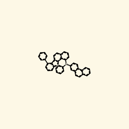 c1ccc(-c2cccc3oc4c(ccc5cccc(N(c6ccccc6)c6ccc7c(ccc8ccccc87)c6)c54)c23)cc1